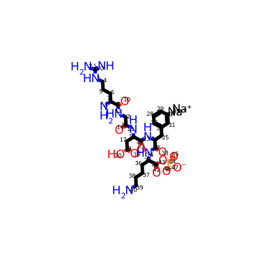 N=C(N)NCCCC(N)C(=O)NCC(=O)NC(CC(=O)O)C(=O)NC(Cc1ccccc1)C(=O)NC(CCCCN)C(=O)OP(=O)([O-])[O-].[Na+].[Na+]